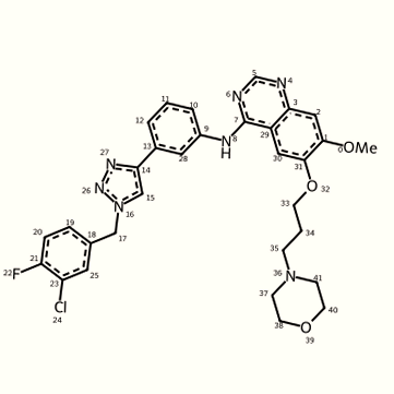 COc1cc2ncnc(Nc3cccc(-c4cn(Cc5ccc(F)c(Cl)c5)nn4)c3)c2cc1OCCCN1CCOCC1